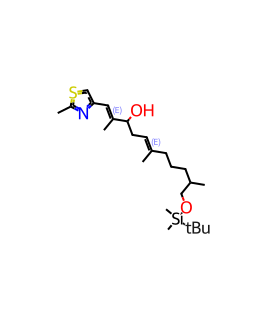 C/C(=C\CC(O)/C(C)=C/c1csc(C)n1)CCCC(C)CO[Si](C)(C)C(C)(C)C